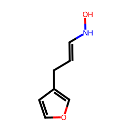 ONC=CCc1ccoc1